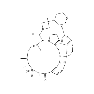 C[C@@H]1[C@@H](C)C/C=C(\F)[C@H](C(=O)N2CC(C)(N3CCOCC3)C2)N2CCC[C@@]23CN2CCCCc4cc(Cl)cc3c4COc3ccc(cc32)C(=O)NS1(=O)=O